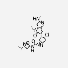 CCn1c(=O)c(-c2cc(NC(=O)Nc3cc(C(C)C)no3)ccc2Cl)cc2cnc(NC)cc21